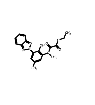 CCOC(=O)C(=O)N(C)c1cc(C)cc(-n2nc3ccccc3n2)c1O